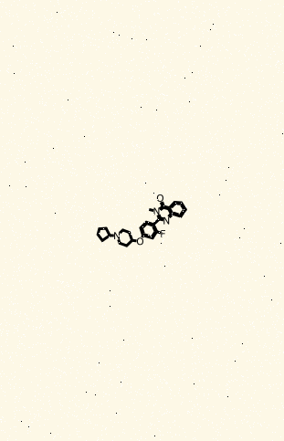 Cn1c(-c2ccc(OC3CCN(C4CCCC4)CC3)cc2F)nc2ccccc2c1=O